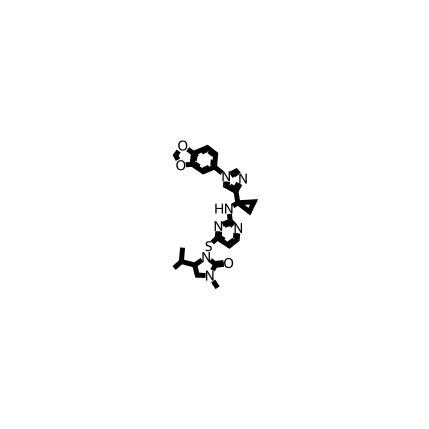 CC(C)C1CN(C)C(=O)N1Sc1ccnc(NC2(c3cn(-c4ccc5c(c4)OCO5)cn3)CC2)n1